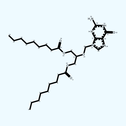 CCCCCCCCC(=O)OCC(COC(=O)CCCCCCCC)OCn1cnc2c(=O)[nH]c(N)nc21